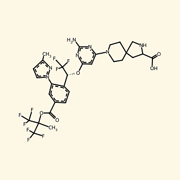 Cc1ccn(-c2cc(C(=O)OC(C)(C(F)(F)F)C(F)(F)F)ccc2[C@@H](Oc2cc(N3CCC4(CC3)CNC(C(=O)O)C4)nc(N)n2)C(F)(F)F)n1